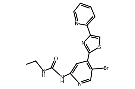 CCNC(=O)Nc1cc(-c2nc(-c3ccccn3)cs2)c(Br)cn1